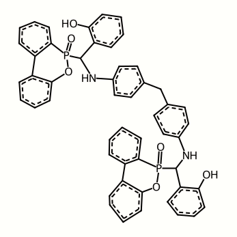 O=P1(C(Nc2ccc(Cc3ccc(NC(c4ccccc4O)P4(=O)Oc5ccccc5-c5ccccc54)cc3)cc2)c2ccccc2O)Oc2ccccc2-c2ccccc21